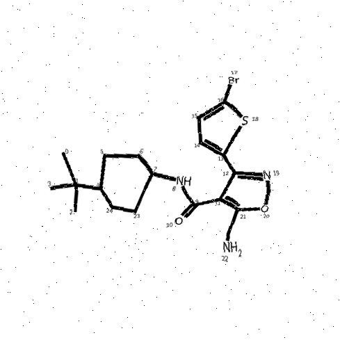 CC(C)(C)C1CCC(NC(=O)c2c(-c3ccc(Br)s3)noc2N)CC1